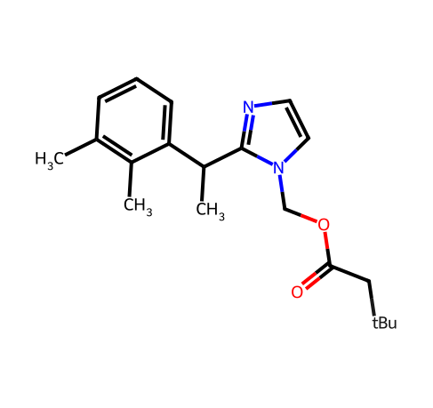 Cc1cccc(C(C)c2nccn2COC(=O)CC(C)(C)C)c1C